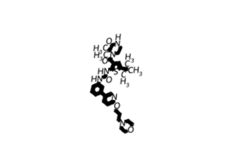 CC(C)(C)c1cc(C(=O)N2CCNC(=O)C2(C)C)c(NC(=O)Nc2cccc(-c3ccc(OCCCN4CCOCC4)nc3)c2)s1